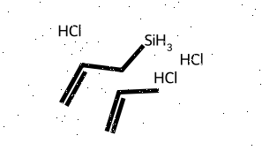 C=CC.C=CC[SiH3].Cl.Cl.Cl